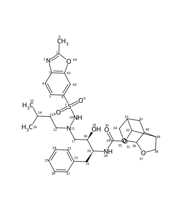 Cc1nc2ccc(S(=O)(=O)NN(CCC(C)C)C[C@@H](O)[C@H](Cc3ccccc3)NC(=O)OC3C4COC5OCC3C5C4)cc2o1